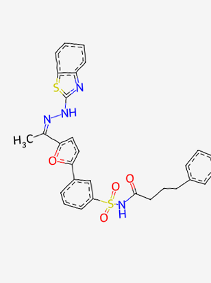 CC(=NNc1nc2ccccc2s1)c1ccc(-c2cccc(S(=O)(=O)NC(=O)CCCc3ccccc3)c2)o1